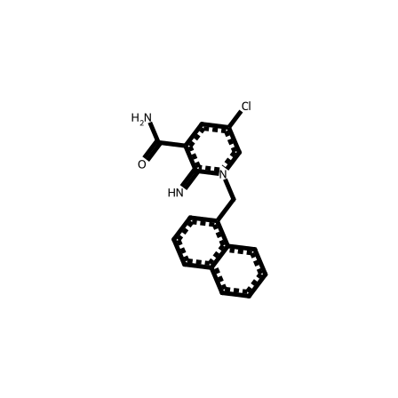 N=c1c(C(N)=O)cc(Cl)cn1Cc1cccc2ccccc12